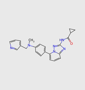 CN(Cc1cccnc1)c1ccc(-c2cccc3nc(NC(=O)C4CC4)nn23)cc1